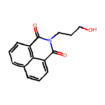 O=C1c2cccc3cccc(c23)C(=O)N1CCCO